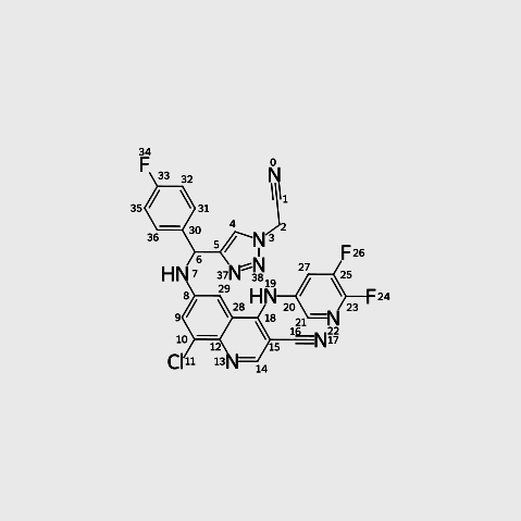 N#CCn1cc(C(Nc2cc(Cl)c3ncc(C#N)c(Nc4cnc(F)c(F)c4)c3c2)c2ccc(F)cc2)nn1